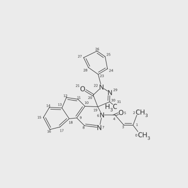 CC(C)=CC(=O)N1N=Cc2c(ccc3ccccc23)C12C(=O)N(c1ccccc1)N=C2C